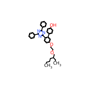 CCCCC(CC)COCCOc1ccc(-c2nc(-c3ccccc3)nc(-c3ccccc3)n2)c(-c2ccc(O)cc2)c1